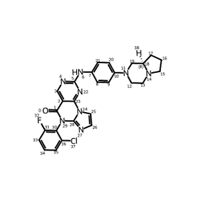 O=c1c2cnc(Nc3ccc(N4CCN5CCC[C@@H]5C4)cc3)nc2n2ccnc2n1-c1c(F)cccc1Cl